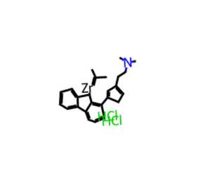 C[C](C)=[Zr][CH]1c2ccccc2-c2cccc(C3=CC(CCN(C)C)=CC3)c21.Cl.Cl